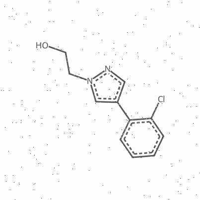 OCCn1cc(-c2ccccc2Cl)cn1